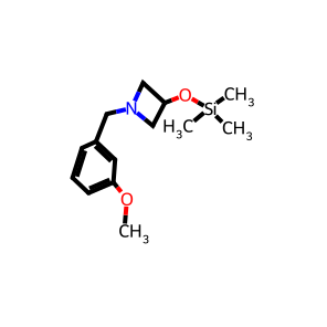 COc1cccc(CN2CC(O[Si](C)(C)C)C2)c1